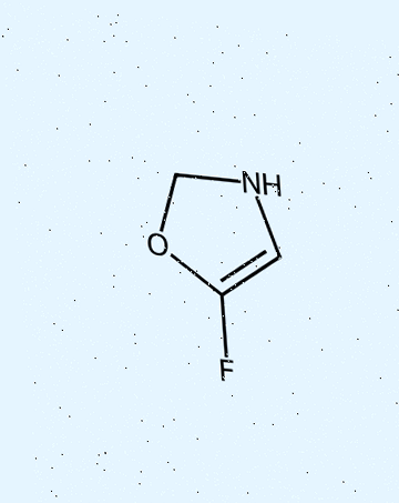 FC1=CNCO1